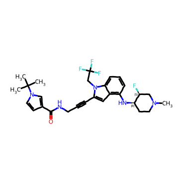 CN1CC[C@@H](Nc2cccc3c2cc(C#CCNC(=O)c2ccn(C(C)(C)C)c2)n3CC(F)(F)F)[C@@H](F)C1